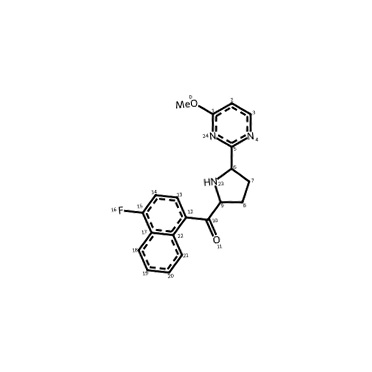 COc1ccnc(C2CCC(C(=O)c3ccc(F)c4ccccc34)N2)n1